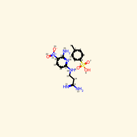 Cc1ccc(S(=O)(=O)O)cc1.N=C(N)CCNc1ccc([N+](=O)[O-])c(N)n1